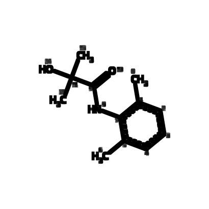 Cc1cccc(C)c1NC(=O)C(C)(C)O